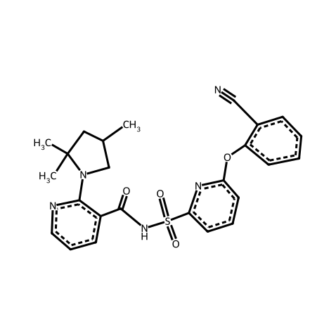 CC1CN(c2ncccc2C(=O)NS(=O)(=O)c2cccc(Oc3ccccc3C#N)n2)C(C)(C)C1